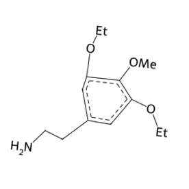 CCOc1cc(CCN)cc(OCC)c1OC